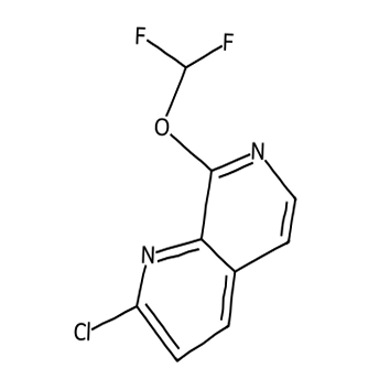 FC(F)Oc1nccc2ccc(Cl)nc12